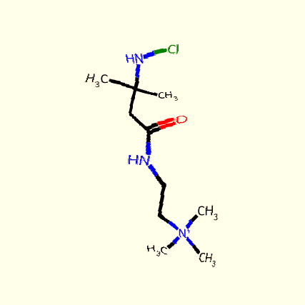 CC(C)(CC(=O)NCC[N+](C)(C)C)NCl